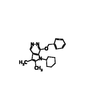 Cc1c(C)n(C2CCCCC2)c2c(OCc3ccccc3)nncc12